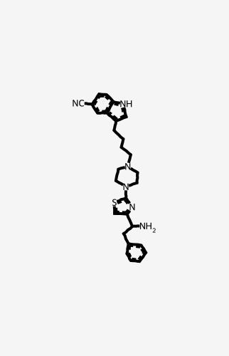 N#Cc1ccc2[nH]cc(CCCCN3CCN(c4nc(C(N)Cc5ccccc5)cs4)CC3)c2c1